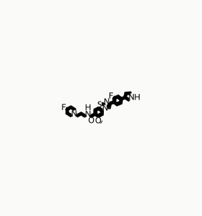 COc1cc2c(cc1C(=O)NCCCN1CCC(F)CC1)sc1nc(-c3ccc(C4CCNC4)cc3F)cn12